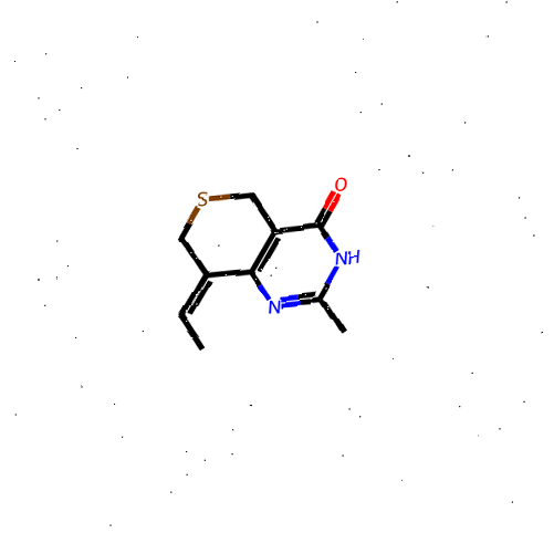 C/C=C1/CSCc2c1nc(C)[nH]c2=O